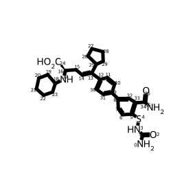 NC(=O)NSc1ccc(-c2ccc(/C(=C/C[C@@H](NC3CCCCC3)C(=O)O)C3CCCC3)cc2)cc1C(N)=O